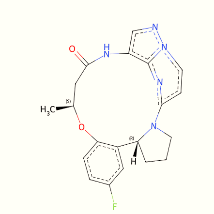 C[C@H]1CC(=O)Nc2cnn3ccc(nc23)N2CCC[C@@H]2c2cc(F)ccc2O1